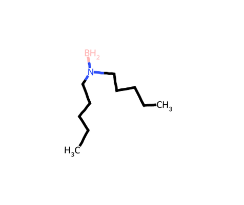 BN(CCCCC)CCCCC